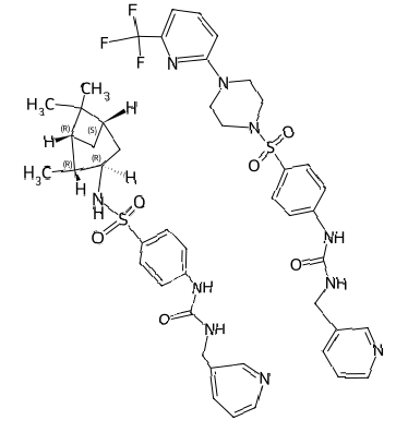 C[C@@H]1[C@H]2C[C@@H](C[C@H]1NS(=O)(=O)c1ccc(NC(=O)NCc3cccnc3)cc1)C2(C)C.O=C(NCc1cccnc1)Nc1ccc(S(=O)(=O)N2CCN(c3cccc(C(F)(F)F)n3)CC2)cc1